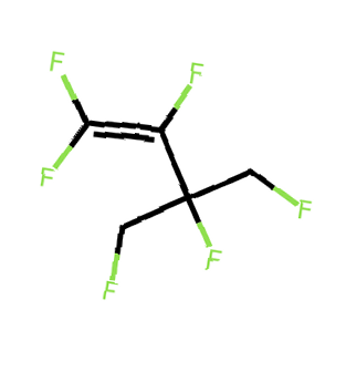 FCC(F)(CF)C(F)=C(F)F